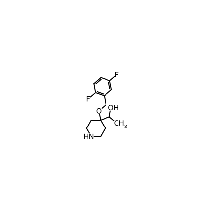 CC(O)C1(OCc2cc(F)ccc2F)CCNCC1